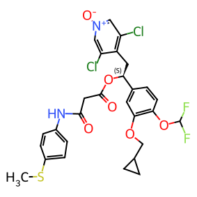 CSc1ccc(NC(=O)CC(=O)O[C@@H](Cc2c(Cl)c[n+]([O-])cc2Cl)c2ccc(OC(F)F)c(OCC3CC3)c2)cc1